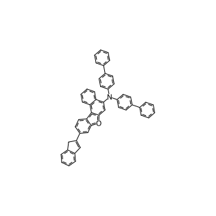 C1=C(c2ccc3c(c2)oc2cc(N(c4ccc(-c5ccccc5)cc4)c4ccc(-c5ccccc5)cc4)c4ccccc4c23)Cc2ccccc21